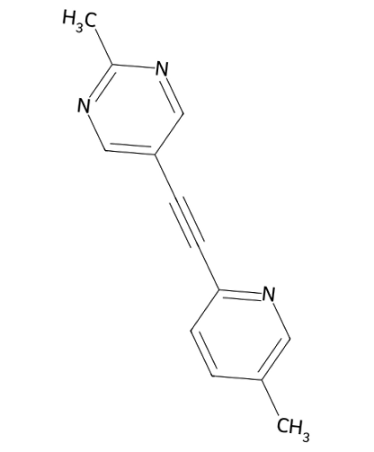 Cc1ccc(C#Cc2cnc(C)nc2)nc1